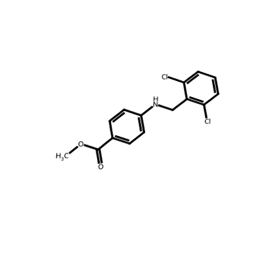 COC(=O)c1ccc(NCc2c(Cl)cccc2Cl)cc1